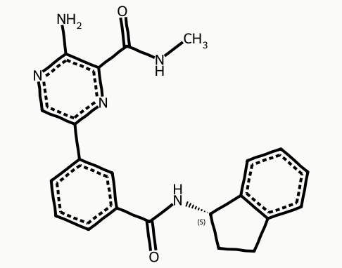 CNC(=O)c1nc(-c2cccc(C(=O)N[C@H]3CCc4ccccc43)c2)cnc1N